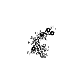 C[C@@H](OC(=O)[C@H](CC(C)(C)C)N(C)C(=O)OC(C)(C)C)C(=O)N(C)[C@@H](CC(C)(C)F)C(=O)O[C@@H](Cc1ccc(SC(F)(F)F)cc1)C(=O)N(C)[C@@H](CC(C)(C)C)C(=O)O[C@H](C)C(=O)N(C)[C@@H](CC(C)(C)F)C(=O)O[C@@H](Cc1ccc(SC(F)(F)F)cc1)C(=O)OCc1ccccc1